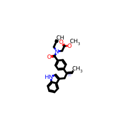 C#CCN(CC(=O)OC)C(=O)c1ccc(/C(=C\C)Cc2c[nH]c3ccccc23)cc1